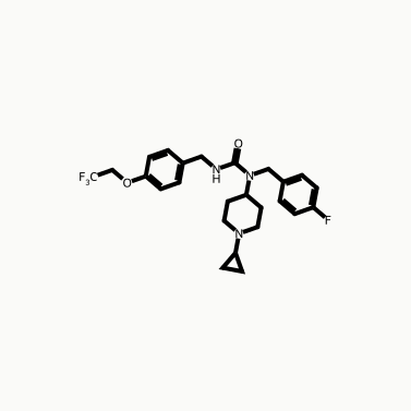 O=C(NCc1ccc(OCC(F)(F)F)cc1)N(Cc1ccc(F)cc1)C1CCN(C2CC2)CC1